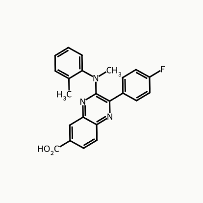 Cc1ccccc1N(C)c1nc2cc(C(=O)O)ccc2nc1-c1ccc(F)cc1